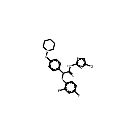 O=C(Nc1ncc(Cl)s1)C(Oc1ccc(F)cc1F)c1ccc(SN2CCCCC2)cc1